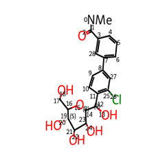 CNC(=O)c1cccc(-c2ccc([C@@H](O)[C@H]3OC(CO)[C@@H](O)C(O)C3O)c(Cl)c2)c1